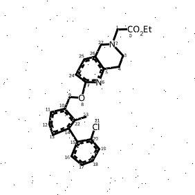 CCOC(=O)CN1CCc2nc(OCc3cccc(-c4ccccc4Cl)c3C)ccc2C1